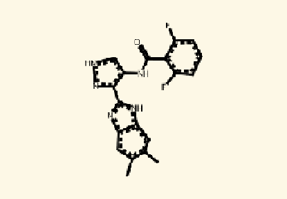 Cc1cc2nc(-c3n[nH]cc3NC(=O)c3c(F)cccc3F)[nH]c2cc1C